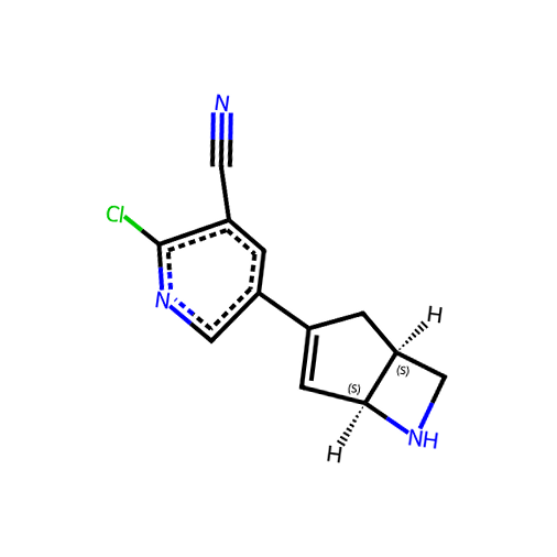 N#Cc1cc(C2=C[C@@H]3NC[C@@H]3C2)cnc1Cl